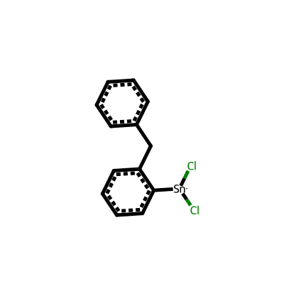 [Cl][Sn]([Cl])[c]1ccccc1Cc1ccccc1